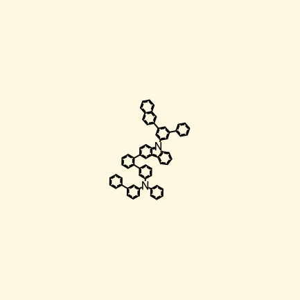 c1ccc(-c2cccc(N(c3ccccc3)c3cccc(-c4ccccc4-c4ccc5c(c4)c4ccccc4n5-c4cc(-c5ccccc5)cc(-c5ccc6ccccc6c5)c4)c3)c2)cc1